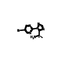 C[C@H](N)c1ncnn1-c1ncc(Br)cn1